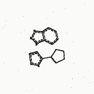 c1ccc2snnc2c1.c1csc(C2CCCC2)c1